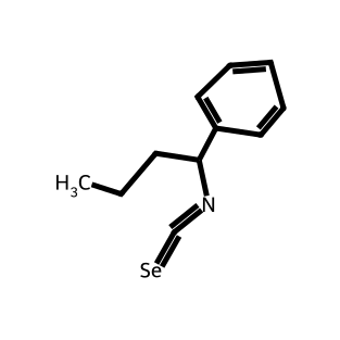 CCCC(N=C=[Se])c1ccccc1